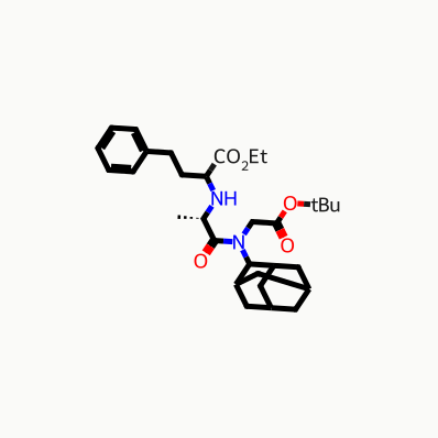 CCOC(=O)C(CCc1ccccc1)N[C@@H](C)C(=O)N(CC(=O)OC(C)(C)C)C1C2CC3CC(C2)CC1C3